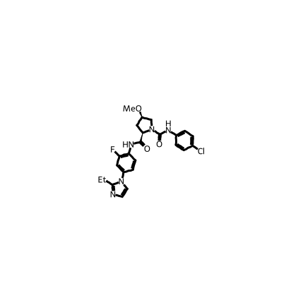 CCc1nccn1-c1ccc(NC(=O)[C@H]2C[C@@H](OC)CN2C(=O)Nc2ccc(Cl)cc2)c(F)c1